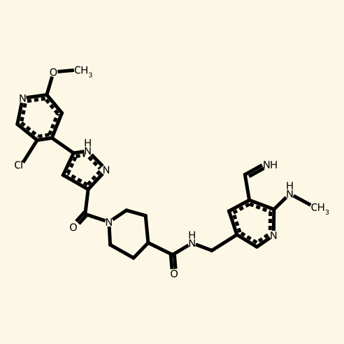 CNc1ncc(CNC(=O)C2CCN(C(=O)c3cc(-c4cc(OC)ncc4Cl)[nH]n3)CC2)cc1C=N